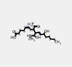 CCCCCC(O)/C=C/C(C(O)NC)C(C/C=C\CCCC(=O)O)C(C)=O